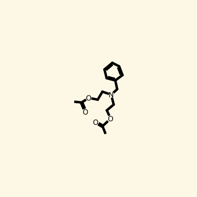 CC(=O)OCCN(CCOC(C)=O)Cc1ccccc1